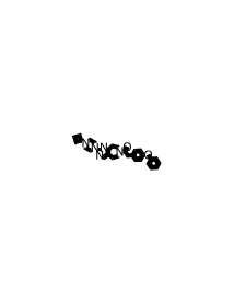 O=C(Cc1ccc(Oc2ccccc2)cc1)N1CCc2cnc(N3CCN(C4CCC4)CC3)nc2CC1